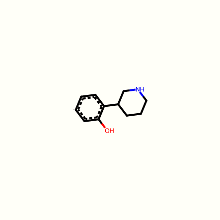 Oc1c[c]ccc1C1CCCNC1